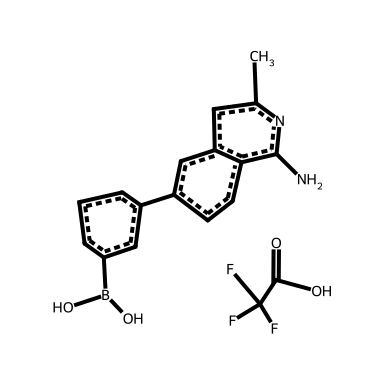 Cc1cc2cc(-c3cccc(B(O)O)c3)ccc2c(N)n1.O=C(O)C(F)(F)F